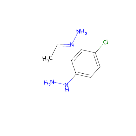 CC=NN.NNc1ccc(Cl)cc1